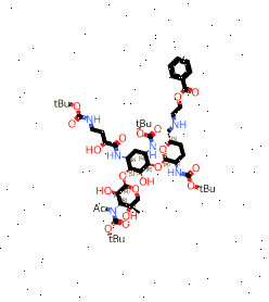 CC(=O)N(C(=O)OC(C)(C)C)[C@@H]1[C@@H](O)[C@@H](O[C@@H]2[C@@H](O)[C@H](O[C@H]3O[C@H](CNCCOC(=O)c4ccccc4)CC[C@H]3NC(=O)OC(C)(C)C)[C@@H](NC(=O)OC(C)(C)C)C[C@H]2NC(=O)C(O)CCNC(=O)OC(C)(C)C)OC[C@]1(C)O